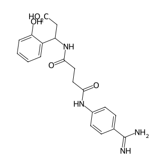 N=C(N)c1ccc(NC(=O)CCC(=O)NC(CC(=O)O)c2ccccc2O)cc1